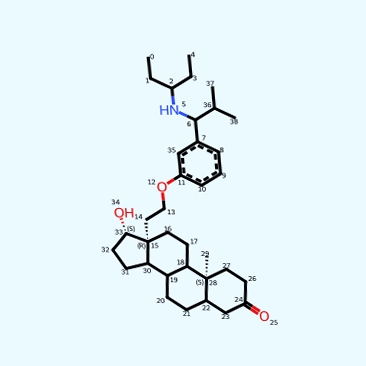 CCC(CC)NC(c1cccc(OCC[C@]23CCC4C(CCC5CC(=O)CC[C@@]54C)C2CC[C@@H]3O)c1)C(C)C